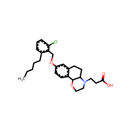 CCCCCc1cccc(Cl)c1COc1ccc2c(c1)CCC1C2OCCN1CCC(=O)O